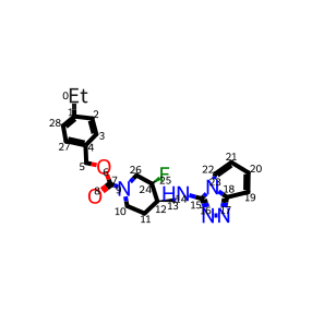 CCc1ccc(COC(=O)N2CC[C@H](CNc3nnc4ccccn34)[C@H](F)C2)cc1